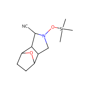 C[Si](C)(C)ON1CC2C3CCC(O3)C2C1C#N